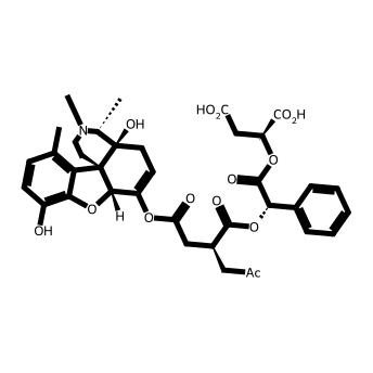 CC(=O)C[C@@H](CC(=O)OC1=CC[C@@]2(O)[C@@H](C)N(C)CC[C@@]23c2c(C)ccc(O)c2O[C@@H]13)C(=O)O[C@H](C(=O)O[C@@H](CC(=O)O)C(=O)O)c1ccccc1